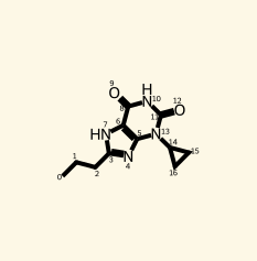 CCCc1nc2c([nH]1)c(=O)[nH]c(=O)n2C1CC1